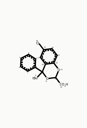 CC(C)(C)C1(c2ccccc2)OC(C(=O)O)Oc2ccc(Cl)cc21